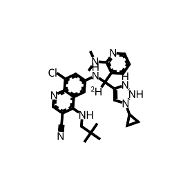 [2H]C(Nc1cc(Cl)c2ncc(C#N)c(NCC(C)(C)C)c2c1)(C1=CN(C2CC2)NN1)c1cccnc1N(C)C